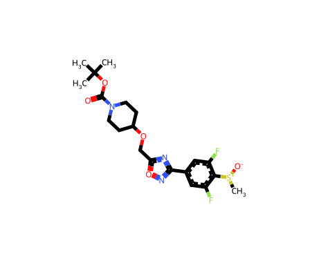 C[S+]([O-])c1c(F)cc(-c2noc(COC3CCN(C(=O)OC(C)(C)C)CC3)n2)cc1F